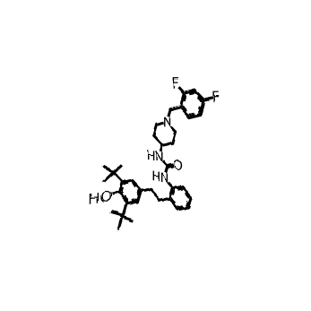 CC(C)(C)c1cc(CCc2ccccc2NC(=O)NC2CCN(Cc3ccc(F)cc3F)CC2)cc(C(C)(C)C)c1O